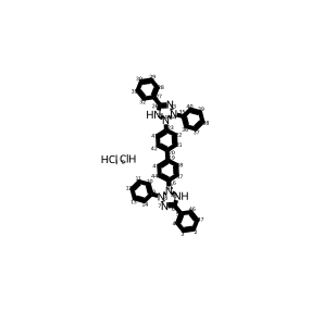 Cl.Cl.c1ccc(C2=NN(c3ccccc3)N(c3ccc(-c4ccc(N5NC(c6ccccc6)=NN5c5ccccc5)cc4)cc3)N2)cc1